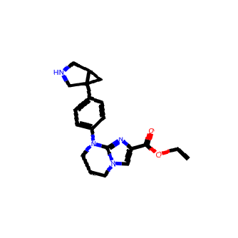 CCOC(=O)c1cn2c(n1)N(c1ccc(C34CNCC3C4)cc1)CCC2